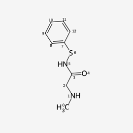 CNCC(=O)NSc1ccccc1